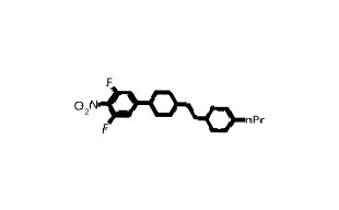 CCCC1CCC(CCC2CCC(c3cc(F)c([N+](=O)[O-])c(F)c3)CC2)CC1